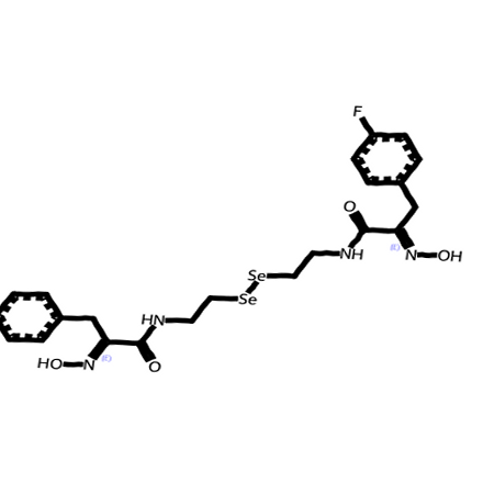 O=C(NCC[Se][Se]CCNC(=O)/C(Cc1ccc(F)cc1)=N/O)/C(Cc1ccc(F)cc1)=N/O